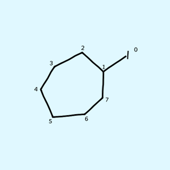 IC1CCCCCC1